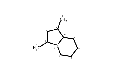 CC1CC(C)N2CCCCC12